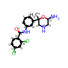 CC1(c2cccc(NC(=O)c3ccc(Cl)cc3Cl)c2)CNCC(N)O1